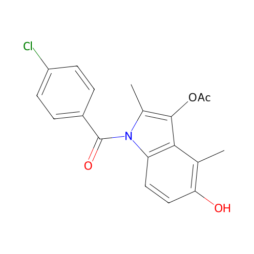 CC(=O)Oc1c(C)n(C(=O)c2ccc(Cl)cc2)c2ccc(O)c(C)c12